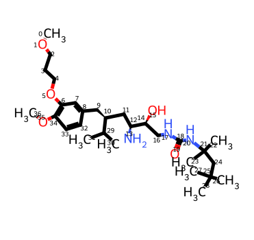 COCCCOc1cc(C[C@@H](C[C@H](N)[C@@H](O)CNC(=O)NC(C)(C)CC(C)(C)C)C(C)C)ccc1OC